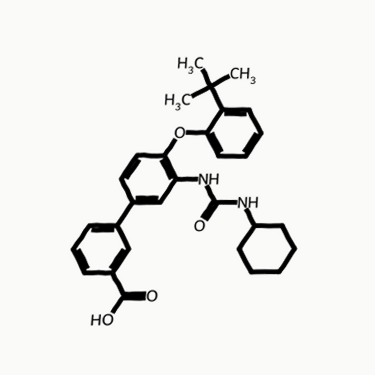 CC(C)(C)c1ccccc1Oc1ccc(-c2cccc(C(=O)O)c2)cc1NC(=O)NC1CCCCC1